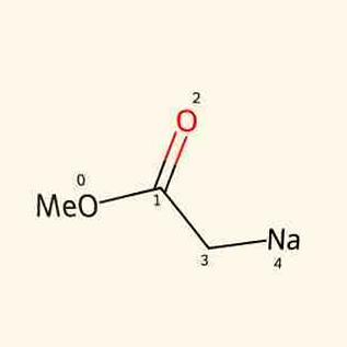 COC(=O)[CH2][Na]